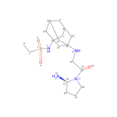 CCS(=O)(=O)NC12CC3CC(CC(NCC(=O)N4CCC[C@H]4N)(C3)C1)C2